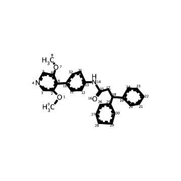 COc1cncc(OC)c1-c1ccc(NC(=O)[CH]C(c2ccccc2)c2ccccc2)cc1